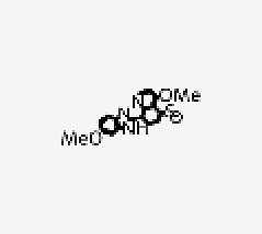 COc1ccc2nc(C3CCC(=S=O)c4c(OC)ccnc43)[nH]c2c1